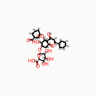 O=C(O)[C@H]1O[C@H](Oc2cc3oc(-c4ccccc4)cc(=O)c3c(O)c2O)[C@H](O)[C@@H](O)[C@@H]1O.O=Cc1ccccc1